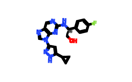 OC[C@H](Nc1ncc2ncn(-c3cc(C4CC4)[nH]n3)c2n1)c1ccc(F)cc1